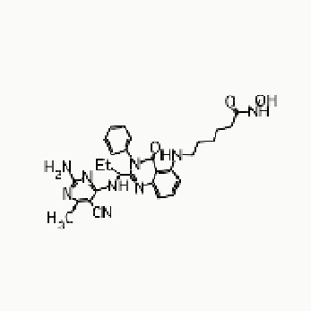 CC[C@H](Nc1nc(N)nc(C)c1C#N)c1nc2cccc(NCCCCCC(=O)NO)c2c(=O)n1-c1ccccc1